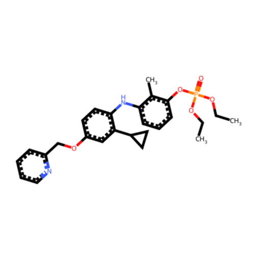 CCOP(=O)(OCC)Oc1cccc(Nc2ccc(OCc3ccccn3)cc2C2CC2)c1C